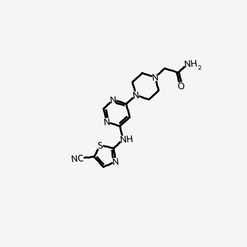 N#Cc1cnc(Nc2cc(N3CCN(CC(N)=O)CC3)ncn2)s1